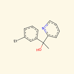 CCc1cccc(C(C)(O)c2ccccn2)c1